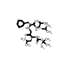 CC(C)C[C@H](NC(=O)[C@H](Cc1ccccc1)NCC(=O)[C@H](CC(C)C)NC(=O)OC(C)(C)C)C(=O)O